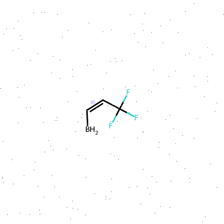 B/C=C\C(F)(F)F